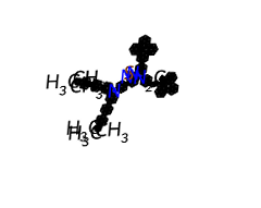 C=C/C(=C\C=C\c1ccc(N(c2ccc(-c3ccc([Si](c4ccccc4)(c4ccccc4)c4ccccc4)cc3)cc2)c2ccc(-c3ccc(-n4c5ccc(-c6ccc(-c7ccc(C(C)(C)C)cc7)cc6)cc5c5cc(-c6ccc(-c7ccc(C(C)(C)C)cc7)cc6)ccc54)cc3)c3nsnc23)cc1)[Si](c1ccccc1)(c1ccccc1)c1ccccc1